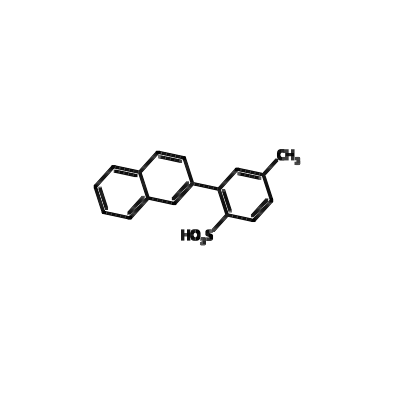 Cc1ccc(S(=O)(=O)O)c(-c2ccc3ccccc3c2)c1